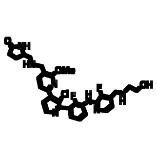 COc1nc(-c2ccnc(-c3cccc(Nc4nccc(CNCCO)c4F)c3F)c2Cl)ccc1CNCC1CCC(=O)N1